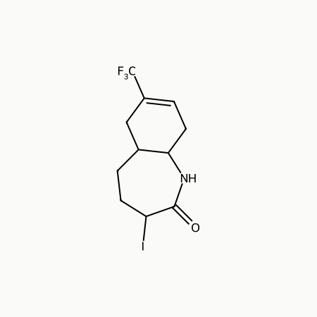 O=C1NC2CC=C(C(F)(F)F)CC2CCC1I